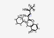 N=C(/C=C(\N)C(=O)N(Cc1ccccc1F)C1CCCCC1)C(F)(F)F